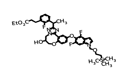 CCOC(=O)CCc1cccc(C(C)c2nc3n(n2)CC(O)COc2ccc(Oc4c(F)cc5c(ccn5COCC[Si](C)(C)C)c4F)cc2-3)c1F